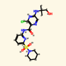 CC(C)(CO)Nc1cnc(C(=O)Nc2cccc(S(=O)(=O)N3CCCCC3)n2)c(Cl)n1